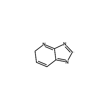 [C]1=NC2=NCC=CC2=N1